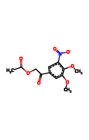 COc1cc(C(=O)COC(C)=O)cc([N+](=O)[O-])c1OC